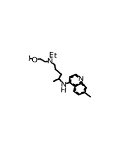 CCN(CCCC(C)Nc1ccnc2cc(C)ccc12)CCOI